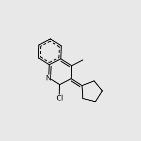 CC1=c2ccccc2=NC(Cl)C1=C1CCCC1